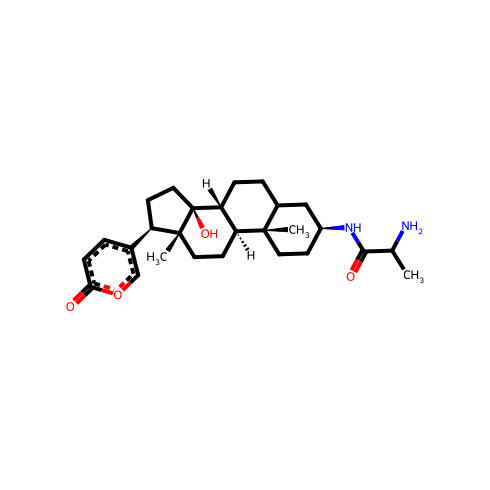 CC(N)C(=O)N[C@H]1CC[C@@]2(C)C(CC[C@@H]3[C@@H]2CC[C@]2(C)[C@@H](c4ccc(=O)oc4)CC[C@]32O)C1